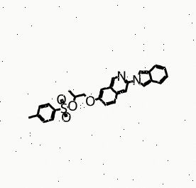 Cc1ccc(S(=O)(=O)OC(C)COc2ccc3cc(-n4cc5ccccc5c4)ncc3c2)cc1